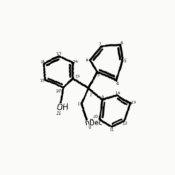 CCCCCCCCCCCC(c1ccccc1)(c1ccccc1)c1ccccc1O